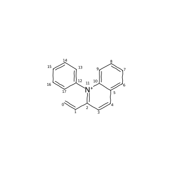 C=Cc1ccc2ccccc2[n+]1-c1ccccc1